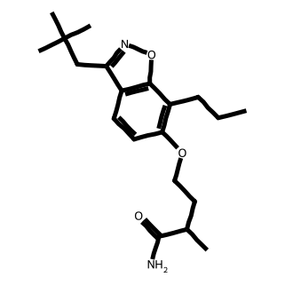 CCCc1c(OCCC(C)C(N)=O)ccc2c(CC(C)(C)C)noc12